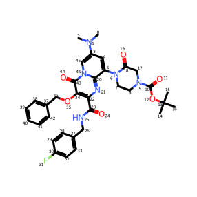 CN(C)c1cc(N2CCN(C(=O)OC(C)(C)C)CC2=O)c2nc(C(=O)NCc3ccc(F)cc3)c(OCc3ccccc3)c(=O)n2c1